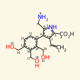 C=Cc1c(C(=O)O)[nH]c(CN)c1-c1ccc(CO)c(CO)c1CO